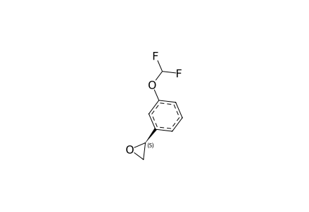 FC(F)Oc1cccc([C@H]2CO2)c1